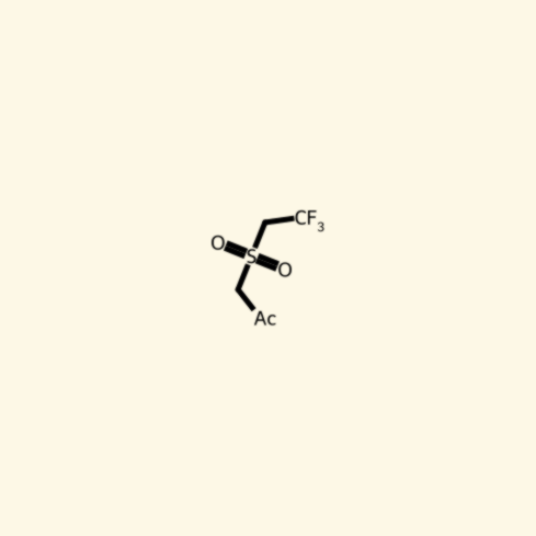 CC(=O)CS(=O)(=O)CC(F)(F)F